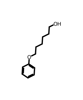 OCCCCCCOc1ccccc1